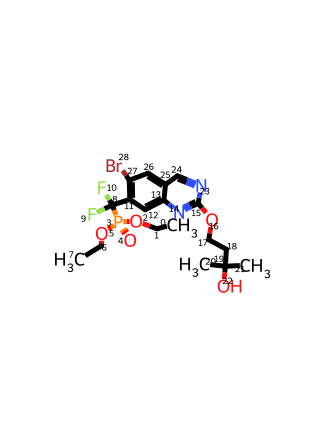 CCOP(=O)(OCC)C(F)(F)c1cc2nc(OCCC(C)(C)O)ncc2cc1Br